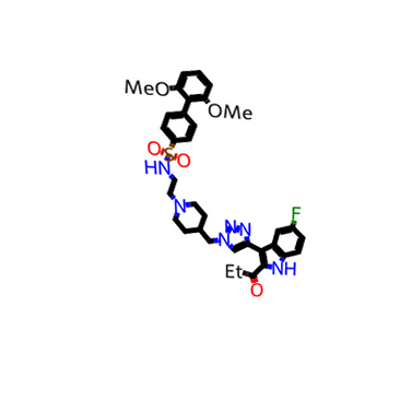 CCC(=O)c1[nH]c2ccc(F)cc2c1-c1cn(CC2CCN(CCNS(=O)(=O)c3ccc(-c4c(OC)cccc4OC)cc3)CC2)nn1